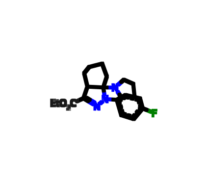 CCOC(=O)C1=NN(c2ccc(F)cc2)C2(N3CCCC3)CCCCC12